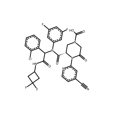 N#Cc1ccnc(N2C(=O)CN(C(=O)O)C[C@H]2C(=O)N(c2cc(F)cc(F)c2)C(C(=O)NC2CC(F)(F)C2)c2ccccc2Cl)c1